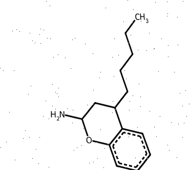 CCCCCC1CC(N)Oc2ccccc21